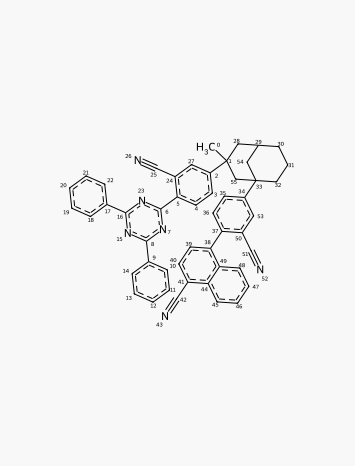 CC1(c2ccc(-c3nc(-c4ccccc4)nc(-c4ccccc4)n3)c(C#N)c2)CC2CCCC(c3ccc(-c4ccc(C#N)c5ccccc45)c(C#N)c3)(C2)C1